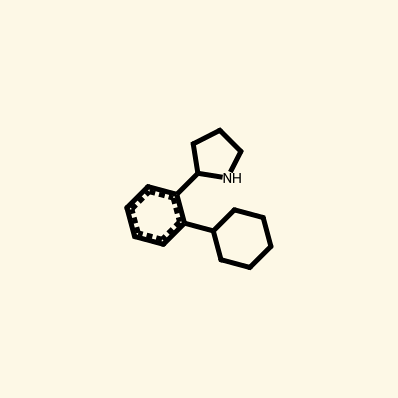 c1ccc(C2CCCN2)c(C2CCCCC2)c1